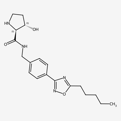 CCCCCc1nc(-c2ccc(CNC(=O)[C@H]3NCC[C@@H]3O)cc2)no1